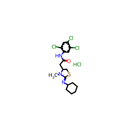 CN1C(=NC2CCCCC2)SCC1CC(=O)Nc1cc(Cl)c(Cl)cc1Cl.Cl